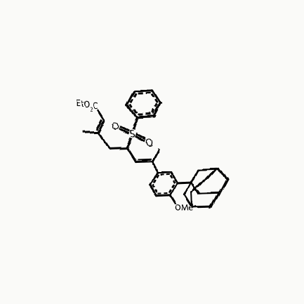 CCOC(=O)C=C(C)CC(C=C(C)c1ccc(OC)c(C23CC4CC(CC(C4)C2)C3)c1)S(=O)(=O)c1ccccc1